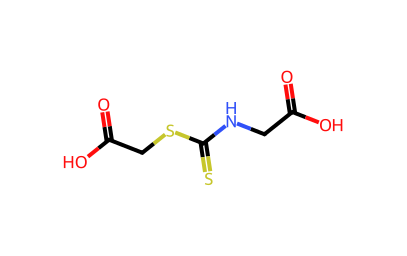 O=C(O)CNC(=S)SCC(=O)O